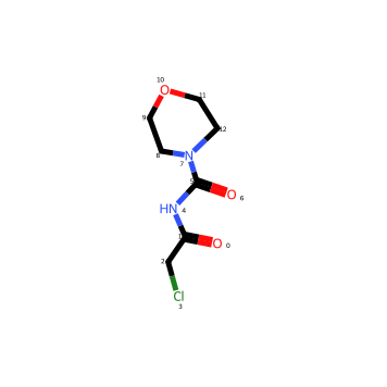 O=C(CCl)NC(=O)N1CCOCC1